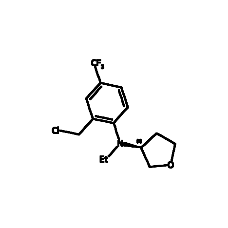 CCN(c1ccc(C(F)(F)F)cc1CCl)[C@H]1CCOC1